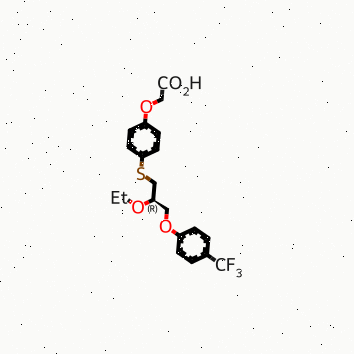 CCO[C@H](COc1ccc(C(F)(F)F)cc1)CSc1ccc(OCC(=O)O)cc1